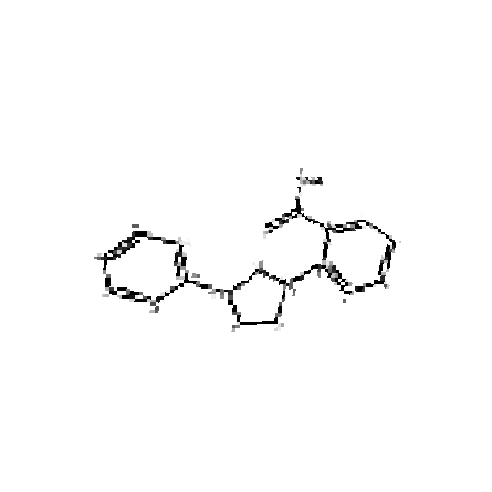 C=C(NC)c1ccccc1N1CCN(c2ccccc2)C1